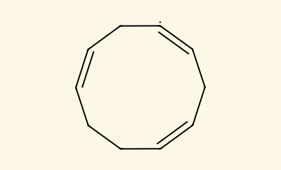 [C]1=C\C/C=C\CC/C=C\C/1